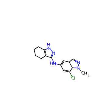 CN1N=CC2C=C(Nc3n[nH]c4c3CCCC4)C=C(Cl)C21